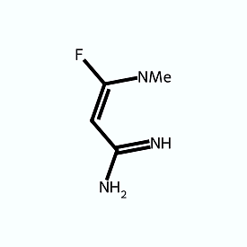 CN/C(F)=C\C(=N)N